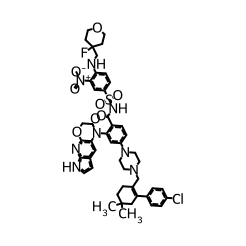 CC1(C)CCC(CN2CCN(c3ccc(C(=O)NS(=O)(=O)c4ccc(NCC5(F)CCOCC5)c([N+](=O)[O-])c4)c(N4C(=O)COc5nc6[nH]ccc6cc54)c3)CC2)=C(c2ccc(Cl)cc2)C1